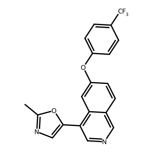 Cc1ncc(-c2cncc3ccc(Oc4ccc(C(F)(F)F)cc4)cc23)o1